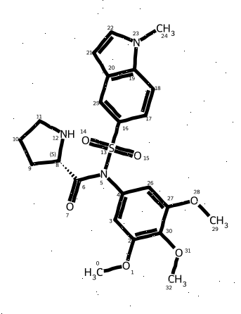 COc1cc(N(C(=O)[C@@H]2CCCN2)S(=O)(=O)c2ccc3c(ccn3C)c2)cc(OC)c1OC